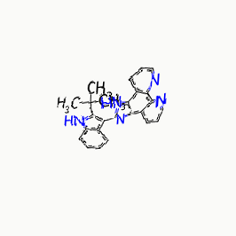 CC(C)(C)c1[nH]c2ccccc2c1-c1nc2c3cccnc3c3ncccc3c2[nH]1